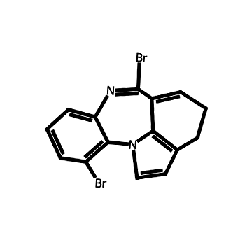 BrC1=Nc2cccc(Br)c2-n2ccc3c2C1=CCC3